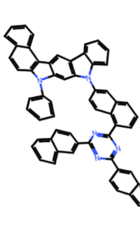 c1ccc(-n2c3cc4c(cc3c3c5ccccc5ccc32)c2ccccc2n4-c2ccc3c(-c4nc(-c5ccc6ccccc6c5)nc(-c5ccc6ccccc6c5)n4)cccc3c2)cc1